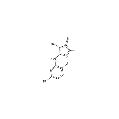 Cn1sc(Nc2cc(C#N)ccc2F)c(C#N)c1=S